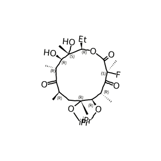 CC[C@H]1OC(=O)[C@@](C)(F)C(=O)[C@H](C)[C@@H](OC(C)C)[C@](C)(OC(C)C)C[C@@H](C)C(=O)[C@H](C)[C@@H](O)[C@]1(C)O